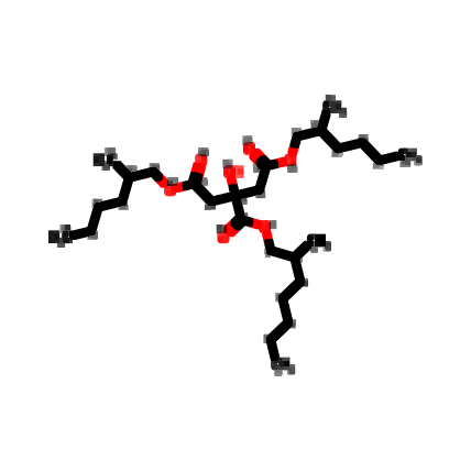 CCCCCC(C)COC(=O)C(O)(CC(=O)OCC(C)CCCC)CC(=O)OCC(C)CCCC